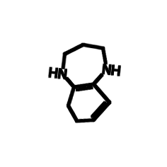 C1=CC2=C(CC1)NCCCN2